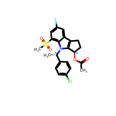 CC(=O)O[C@@H]1CCc2c1n([C@@H](C)c1ccc(Cl)cc1)c1c(S(C)(=O)=O)cc(F)cc21